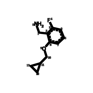 NCc1c(F)cccc1OCC1CC1